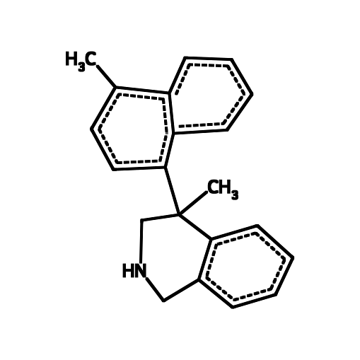 Cc1ccc(C2(C)CNCc3ccccc32)c2ccccc12